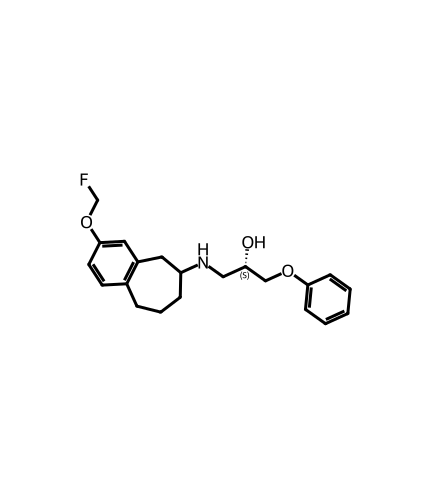 O[C@@H](CNC1CCCc2ccc(OCF)cc2C1)COc1ccccc1